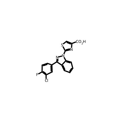 O=C(O)c1csc(-n2nc(-c3ccc(F)c(Cl)c3)c3ccccc32)n1